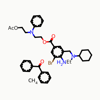 C.CCN(Cc1cc(C(=O)OCCN(CCOC(C)=O)c2ccccc2)cc(Br)c1N)C1CCCCC1.O=C(c1ccccc1)c1ccccc1